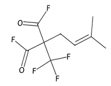 CC(C)=CCC(C(=O)F)(C(=O)F)C(F)(F)F